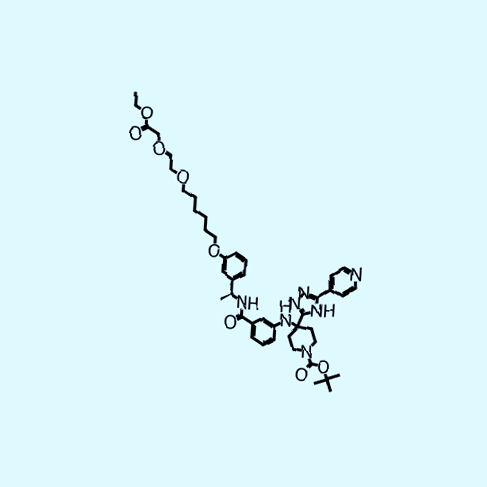 CCOC(=O)COCCOCCCCCCOc1cccc([C@H](C)NC(=O)c2cccc(NC3(c4nnc(-c5ccncc5)[nH]4)CCN(C(=O)OC(C)(C)C)CC3)c2)c1